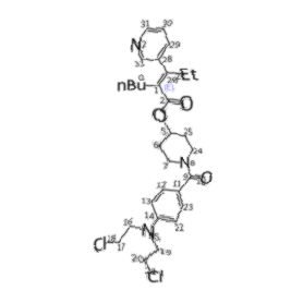 CCCC/C(C(=O)OC1CCN(C(=O)c2ccc(N(CCCl)CCCl)cc2)CC1)=C(/CC)c1cccnc1